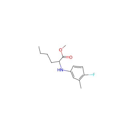 CCCCC(Nc1ccc(F)c(C)c1)C(=O)OC